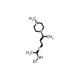 CCNC(C)=C=C/C=C(\C)N1CCN(C)CC1